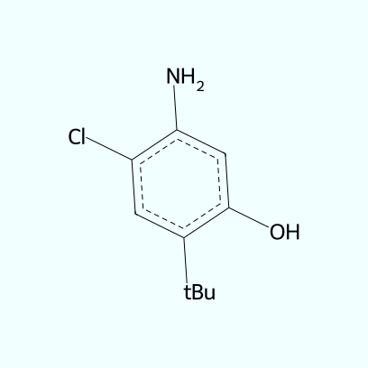 CC(C)(C)c1cc(Cl)c(N)cc1O